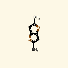 Bc1cc2sc(B)cc2s1